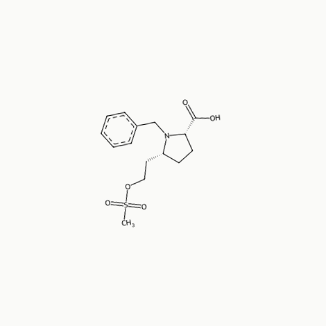 CS(=O)(=O)OCC[C@H]1CC[C@@H](C(=O)O)N1Cc1ccccc1